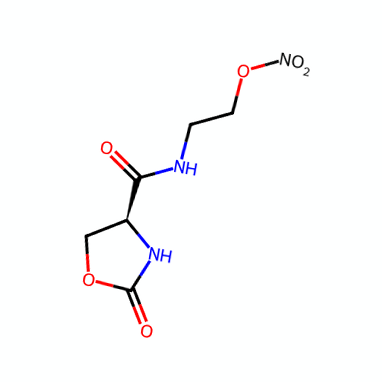 O=C1N[C@H](C(=O)NCCO[N+](=O)[O-])CO1